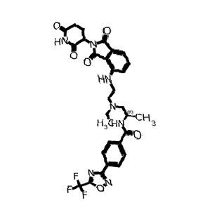 CCN(CCNc1cccc2c1C(=O)N(C1CCC(=O)NC1=O)C2=O)C[C@@H](C)NC(=O)c1ccc(-c2noc(C(F)(F)F)n2)cc1